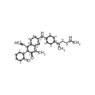 C#Cc1c(-c2ccccc2Cl)c(=O)n(C)c2nc(Nc3ccc(N(C)CCNC)cc3)ncc12